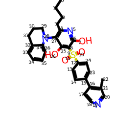 CCCCc1nc(O)c(S(=O)(=O)c2ccc(-c3ccncc3C)cc2)c(O)c1N1CCCc2ccccc21